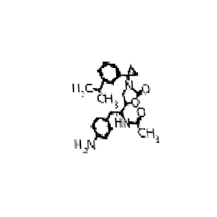 CC(=O)N[C@@H](Cc1ccc(N)cc1)C1CN(C2(c3cccc(C(C)C)c3)CC2)C(=O)O1